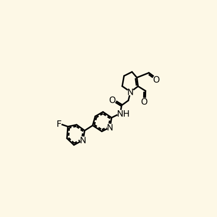 O=CC1=C(C=O)N(CC(=O)Nc2ccc(-c3cc(F)ccn3)cn2)CCC1